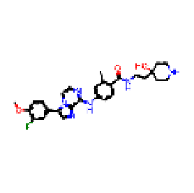 COc1ccc(-c2cnc3c(Nc4ccc(C(=O)NCCC5(O)CCNCC5)c(C)c4)nccn23)cc1F